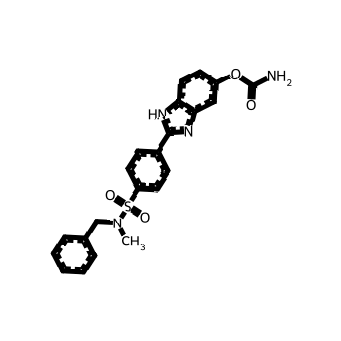 CN(Cc1ccccc1)S(=O)(=O)c1ccc(-c2nc3cc(OC(N)=O)ccc3[nH]2)cc1